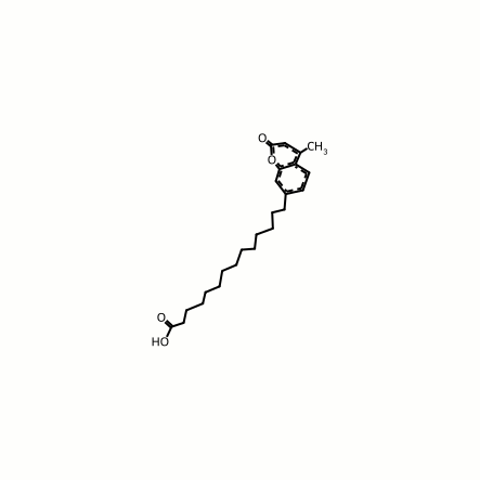 Cc1cc(=O)oc2cc(CCCCCCCCCCCCCC(=O)O)ccc12